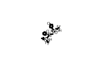 CC(C)(C)OC[C@H](NC(=O)C(F)(F)F)c1nc(Cn2nc(-c3ccc(Cl)cc3)n(C[C@H](O)C(F)(F)F)c2=O)nn1-c1ccccc1Cl